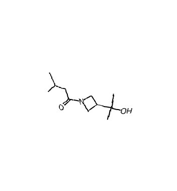 CC(C)CC(=O)N1CC(C(C)(C)O)C1